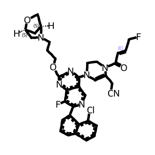 N#CCC1=CN(c2nc(OCCCN3C[C@@H]4C[C@H]3CO4)nc3c(F)c(-c4cccc5cccc(Cl)c45)ncc23)CCN1C(=O)/C=C/CF